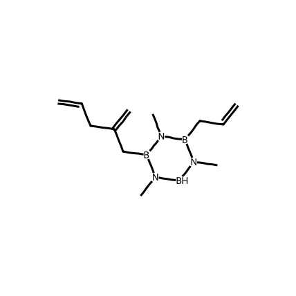 C=CCB1N(C)BN(C)B(CC(=C)CC=C)N1C